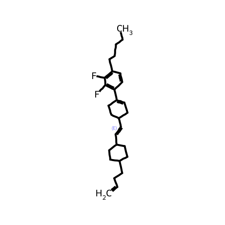 C=CCCC1CCC(/C=C/C2CC=C(c3ccc(CCCCC)c(F)c3F)CC2)CC1